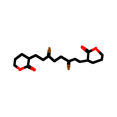 O=C1OCCCC1CCC(=S)CCC(=S)CCC1CCCOC1=O